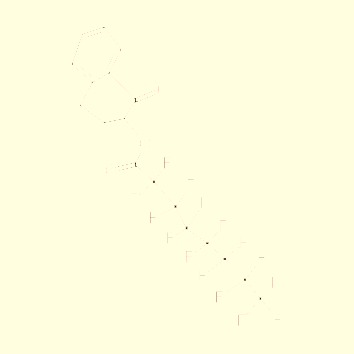 O=C1c2ccccc2CCC1OC(=O)C(F)(F)C(F)(F)C(F)(F)C(F)(F)C(F)(F)C(F)(F)C(F)(F)F